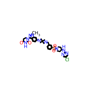 Cn1nc(N2CCC(=O)NC2=O)c2ccc(N3CC4(CN(Cc5cccc(S(=O)(=O)N6CCC(Nc7ncc(Cl)cn7)CC6)c5)C4)C3)cc21